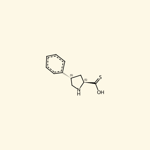 OC(=S)[C@@H]1C[C@@H](c2ccccc2)CN1